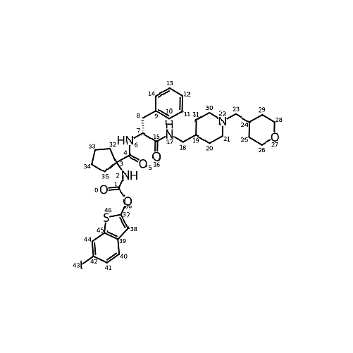 O=C(NC1(C(=O)N[C@H](Cc2ccccc2)C(=O)NCC2CCN(CC3CCOCC3)CC2)CCCC1)Oc1cc2ccc(I)cc2s1